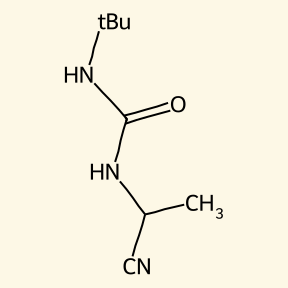 CC(C#N)NC(=O)NC(C)(C)C